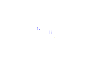 c1ccc(-c2nnc3c4ccccc4sn23)cc1